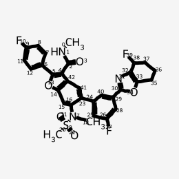 CNC(=O)c1c(-c2ccc(F)cc2)oc2cc(N(C)S(C)(=O)=O)c(-c3cc(F)cc(-c4nc5c(o4)CCCC5F)c3)cc12